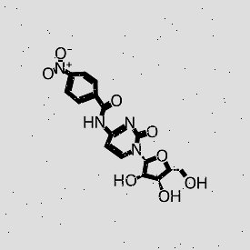 O=C(Nc1ccn([C@@H]2O[C@H](CO)[C@@H](O)[C@H]2O)c(=O)n1)c1ccc([N+](=O)[O-])cc1